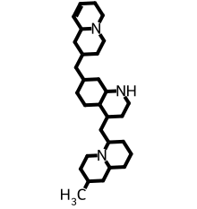 CC1CCN2C(CCCC2CC2CCNC3CC(CC4CCN5CCC=CC5C4)CCC23)C1